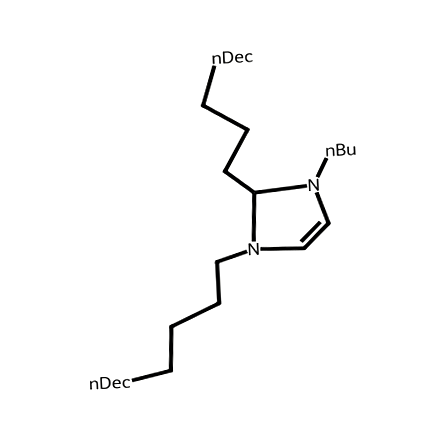 CCCCCCCCCCCCCCN1C=CN(CCCC)C1CCCCCCCCCCCCC